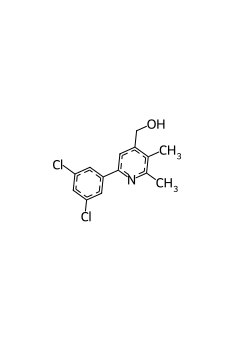 Cc1nc(-c2cc(Cl)cc(Cl)c2)cc(CO)c1C